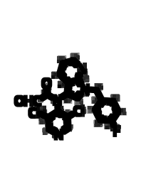 O=CC(=O)N(c1c(Cl)cncc1Cl)c1cn(Cc2ccc(F)cc2)c2ncccc12